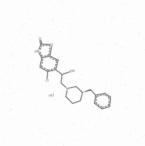 Cl.O=c1[nH]c2cc(Cl)c(C(O)CN3CCC[C@H](Cc4ccccc4)C3)cc2o1